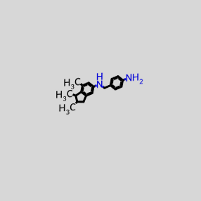 Cc1cc(NCc2ccc(N)cc2)cc2c1C(C)C(C)C2